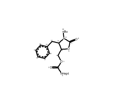 CCCCCCCC(=O)OCC1OC(=O)N(CCCC)C1Cc1ccccc1